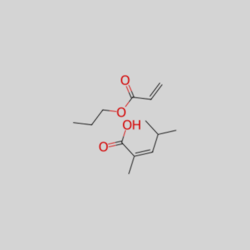 C=CC(=O)OCCC.CC(=CC(C)C)C(=O)O